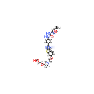 CC(C)(C)c1cc(NC(=O)Nc2ccc(-c3nc4sc5cc(OCCN6CC[C@@H](OCCO)C6)ccc5c4[nH]3)cc2)no1